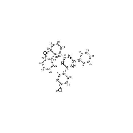 Clc1ccc(-c2nc(-c3ccccc3)nc(-c3cccc4oc5ccccc5c34)n2)cc1